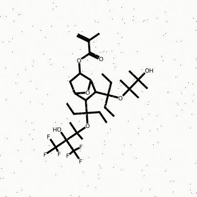 C=C(C)C(=O)OC1CC2OC1C(C(CC)(CC)OC(C)(C)C(C)(C)O)C2C(CC)(CC)OC(C)(C)C(O)(C(F)(F)F)C(F)(F)F